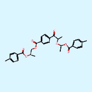 Cc1ccc(C(=O)OC(C)COC(=O)c2ccc(C(=O)C(C)OC(C)OC(=O)c3ccc(C)cc3)cc2)cc1